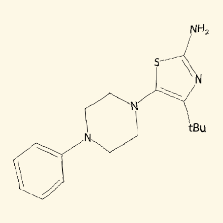 CC(C)(C)c1nc(N)sc1N1CCN(c2ccccc2)CC1